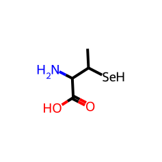 CC([SeH])C(N)C(=O)O